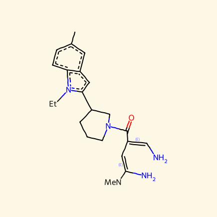 CCn1c(C2CCCN(C(=O)C(/C=C(\N)NC)=C/N)C2)cc2cc(C)ccc21